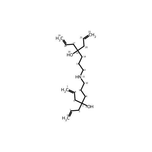 C=CCC(O)(CC=C)CCCNCCCC(O)(CC=C)CC=C